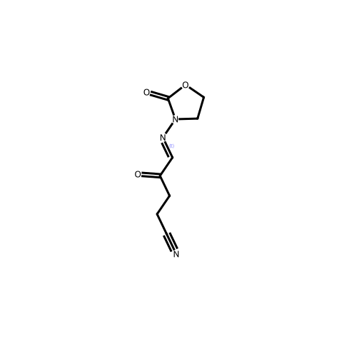 N#CCCC(=O)/C=N/N1CCOC1=O